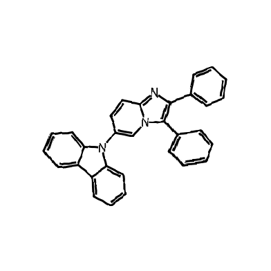 c1ccc(-c2nc3ccc(-n4c5ccccc5c5ccccc54)cn3c2-c2ccccc2)cc1